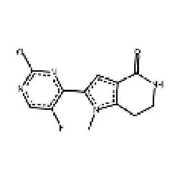 Cn1c(-c2nc(Cl)ncc2F)cc2c1CCNC2=O